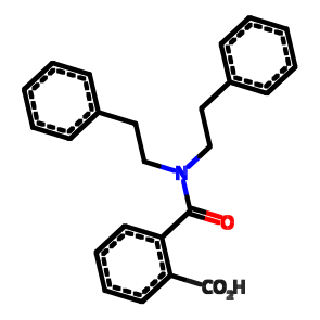 O=C(O)c1ccccc1C(=O)N(CCc1ccccc1)CCc1ccccc1